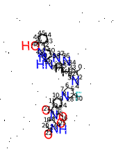 CC12CN(C[C@H]3CCN(c4ccc5c(c4)C(=O)N(C4CCC(=O)NC4=O)C5=O)C[C@H]3F)C[C@H]1[C@@H]2CN1CCN2c3cc(-c4ccccc4O)nnc3NC[C@H]2C1